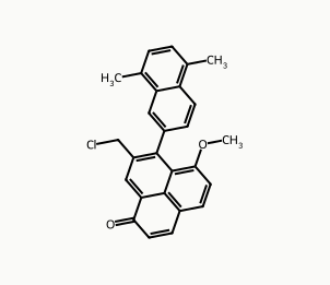 COc1ccc2c3c(cc(CCl)c(-c4ccc5c(C)ccc(C)c5c4)c13)C(=O)C=C2